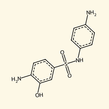 Nc1ccc(NS(=O)(=O)c2ccc(N)c(O)c2)cc1